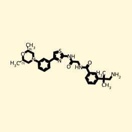 C[C@@H]1CN(c2cccc(-c3csc(NC(=O)CNC(=O)c4cccc(C(C)(C)CN)c4)n3)c2)C[C@H](C)O1